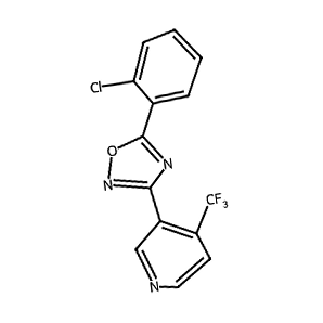 FC(F)(F)c1ccncc1-c1noc(-c2ccccc2Cl)n1